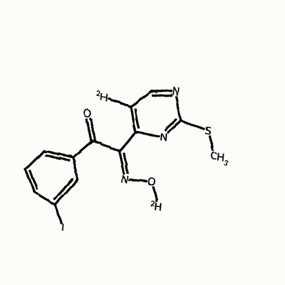 [2H]ON=C(C(=O)c1cccc(I)c1)c1nc(SC)ncc1[2H]